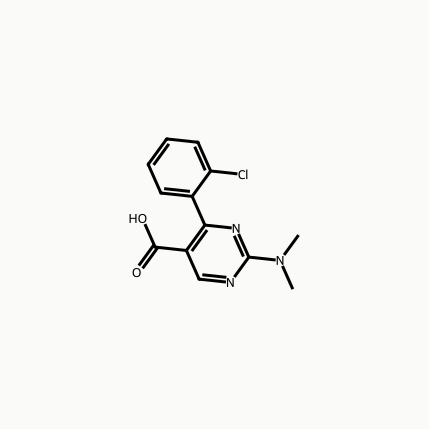 CN(C)c1ncc(C(=O)O)c(-c2ccccc2Cl)n1